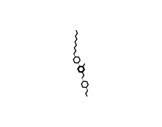 CCCCCCCCC[C@H]1CC[C@H](c2ccc(CC[C@H]3CC[C@H](CCC)CC3)cc2C)CC1